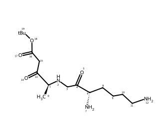 C[C@H](NCC(=O)[C@@H](N)CCCCN)C(=O)CC(=O)OC(C)(C)C